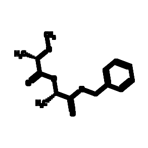 CO[C@@H](C)C(=O)O[C@@H](C)C(=O)OCc1ccccc1